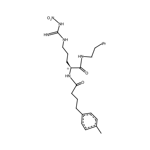 Cc1ccc(CCCC(=O)N[C@@H](CCCNC(=N)N[N+](=O)[O-])C(=O)N[CH]CC(C)C)cc1